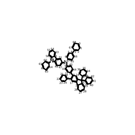 c1ccc(-c2ccc(N(c3ccc(-c4cc5c(cc4-c4ccccc4)-c4ccccc4C5(c4ccccc4)c4ccccc4)cc3)c3ccc4c(c3)c3ccccc3n4-c3ccccc3)cc2)cc1